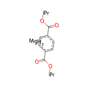 CC(C)OC(=O)c1ccc(C(=O)OC(C)C)cc1.[MgH2]